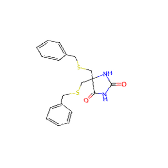 O=C1NC(=O)C(CSCc2ccccc2)(CSCc2ccccc2)N1